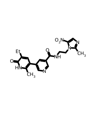 CCc1cc(-c2cncc(C(=O)NCCn3c([N+](=O)[O-])cnc3C)c2)c(C)[nH]c1=O